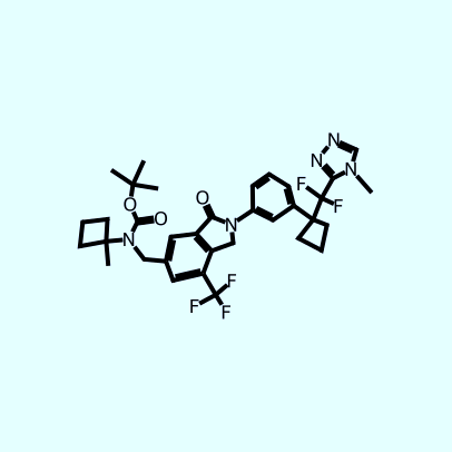 Cn1cnnc1C(F)(F)C1(c2cccc(N3Cc4c(cc(CN(C(=O)OC(C)(C)C)C5(C)CCC5)cc4C(F)(F)F)C3=O)c2)CCC1